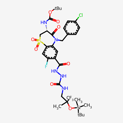 CC(C)(C)OC(=O)N[C@H]1CS(=O)(=O)c2cc(F)c(C(=O)NNC(=O)NCC(C)(O[Si](C)(C)C(C)(C)C)C(F)(F)F)cc2N(Cc2ccc(Cl)cc2)C1=O